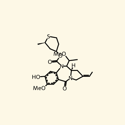 C/C=C1\C[C@H]2C(C(C)OC)N(C(=O)O[C@@H]3CCS[C@H](C)C3)c3cc(O)c(OC)cc3C(=O)N2C1